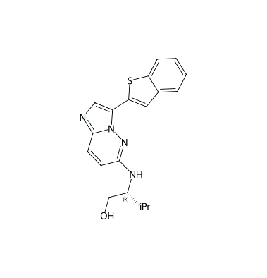 CC(C)[C@H](CO)Nc1ccc2ncc(-c3cc4ccccc4s3)n2n1